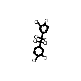 Clc1ccc(C(Cl)(Cl)C(Cl)(Cl)c2ccc(Cl)c(Cl)c2)cc1Cl